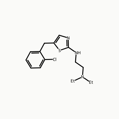 CCN(CC)CCNc1ncc(Cc2ccccc2Cl)s1